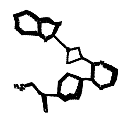 CCC(=O)c1ccc(-c2nccnc2C2CN(c3ncc4ccccc4n3)C2)cc1